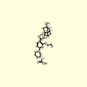 CCCOc1nc(N2CCC[C@@H](CC(=O)O)C2)ccc1C(=O)N[C@H]1C2CC3CC1C[C@@](O)(C3)C2